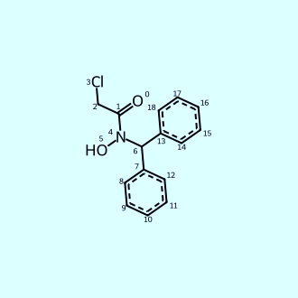 O=C(CCl)N(O)C(c1ccccc1)c1ccccc1